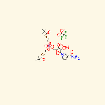 CC(C)(C)C(=O)SCCOP(=O)(OCCSC(=O)C(C)(C)C)OCC1OC([n+]2cccc(C(N)=O)c2)C(O)C1O.O=C([O-])C(F)(F)F